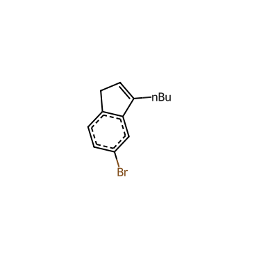 CCCCC1=CCc2ccc(Br)cc21